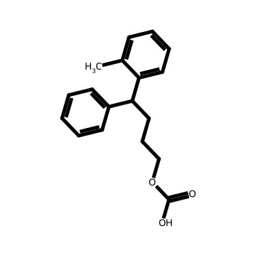 Cc1ccccc1C(CCCOC(=O)O)c1ccccc1